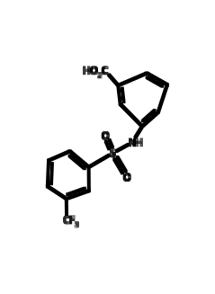 O=C(O)c1cccc(NS(=O)(=O)c2cccc(C(F)(F)F)c2)c1